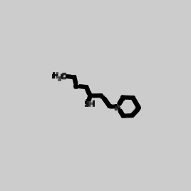 CCCCC(S)CCN1CCCCC1